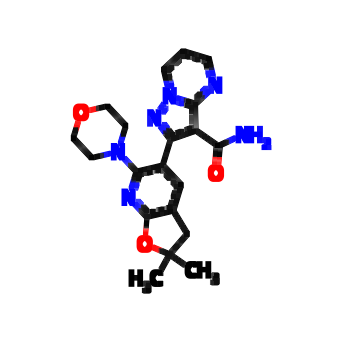 CC1(C)Cc2cc(-c3nn4cccnc4c3C(N)=O)c(N3CCOCC3)nc2O1